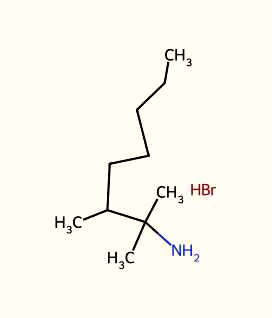 Br.CCCCCC(C)C(C)(C)N